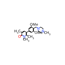 COc1cc(-c2cc(C)c(=O)n(C)c2C)cc(OC)c1CN1CCN(C)CC1